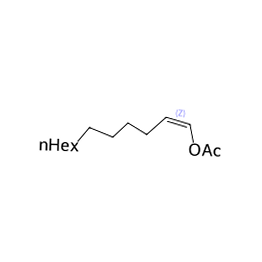 CCCCCCCCCC/C=C\OC(C)=O